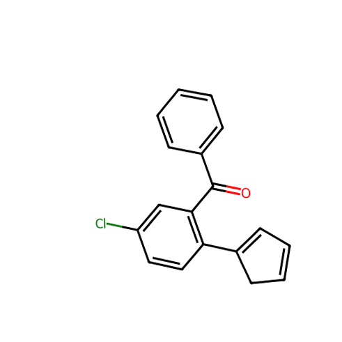 O=C(c1ccccc1)c1cc(Cl)ccc1C1=CC=CC1